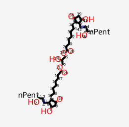 CCCCCC(O)/C=C/C1C(O)CC(=O)[C@@H]1CCCCCCCC(=O)OCC(O)COC(=O)CCCCCCC[C@H]1C(=O)CC(O)C1/C=C/C(O)CCCCC